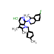 Cc1ccc(Cn2c(C)c(C)c3ccnc(N4CCc5ccc(F)cc5C4C)c32)cc1.Cl